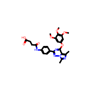 COc1cc(Oc2nc(-c3ccc(NC(=O)CCC(=O)O)cc3)nn3c(C)nc(C)c23)cc(OC)c1OC